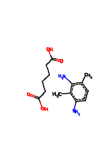 Cc1ccc(N)c(C)c1N.O=C(O)CCCCC(=O)O